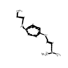 CCCOc1ccc(OCCN(C)C)cc1